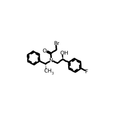 C[C@H](c1ccccc1)N(C[C@@H](O)c1ccc(F)cc1)C(=O)CBr